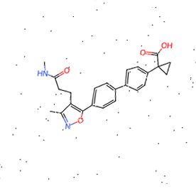 CNC(=O)CCc1c(C)noc1-c1ccc(-c2ccc(C3(C(=O)O)CC3)cc2)cc1